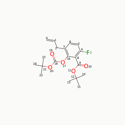 C=CCc1ccc(F)c(C(=O)OC(C)(C)C)c1OC(=O)OC(C)(C)C